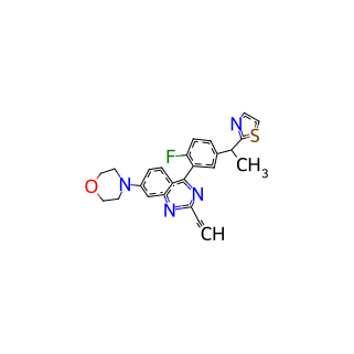 C#Cc1nc(-c2cc(C(C)c3nccs3)ccc2F)c2ccc(N3CCOCC3)cc2n1